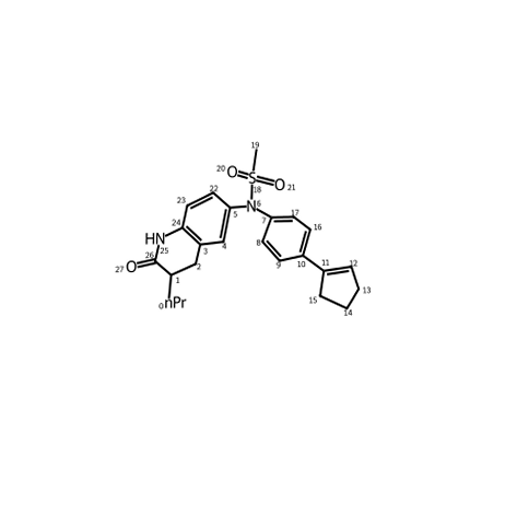 CCCC1Cc2cc(N(c3ccc(C4=CCCC4)cc3)S(C)(=O)=O)ccc2NC1=O